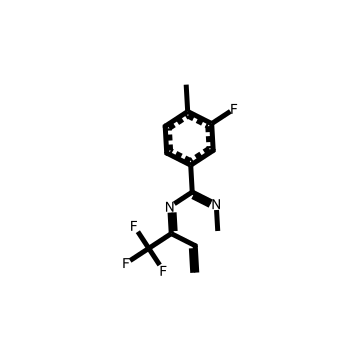 C=C/C(=N\C(=N/C)c1ccc(C)c(F)c1)C(F)(F)F